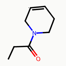 CCC(=O)N1C[C]=CCC1